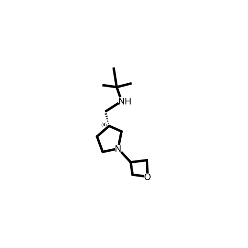 CC(C)(C)NC[C@H]1CCN(C2COC2)C1